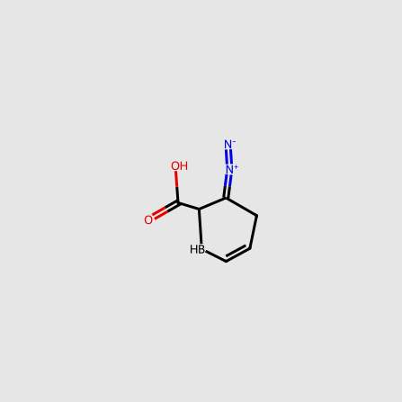 [N-]=[N+]=C1CC=CBC1C(=O)O